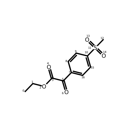 CCOC(=O)C(=O)c1ccc(S(C)(=O)=O)cc1